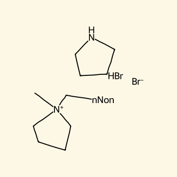 Br.C1CCNC1.CCCCCCCCCC[N+]1(C)CCCC1.[Br-]